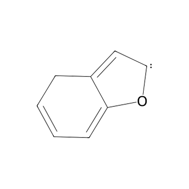 [C]1C=C2CC=CC=C2O1